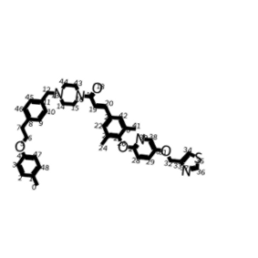 Cc1ccc(OCCc2ccc(CN3CCN(C(=O)C=Cc4cc(C)c(Oc5ccc(OCc6cscn6)cn5)c(C)c4)CC3)cc2)cc1